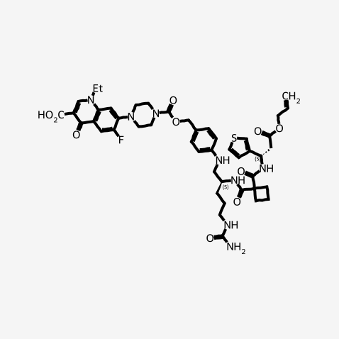 C=CCOC(=O)C[C@H](NC(=O)C1(C(=O)N[C@@H](CCCNC(N)=O)CNc2ccc(COC(=O)N3CCN(c4cc5c(cc4F)c(=O)c(C(=O)O)cn5CC)CC3)cc2)CCC1)c1ccsc1